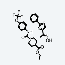 CC(=NO)c1csc(-c2ccccc2)n1.CCOC(=O)C1CCN(C(=O)Nc2ccc(OC(F)(F)F)cc2)CC1